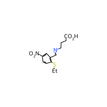 CCSc1ccc([N+](=O)[O-])cc1C=NCCCC(=O)O